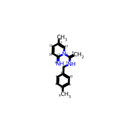 C=C(NCc1ccc(C)cc1)n1cc(C)ccc1=N